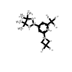 CC1(C)OB(c2cc(N3CC(F)(F)C3)nc(C(F)(F)F)c2)OC1(C)C